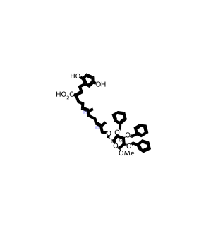 CO[C@@H]1O[C@H](COC/C(C)=C/CC/C(C)=C/CCC(=CCc2cc(O)ccc2O)C(=O)O)[C@@H](OCc2ccccc2)[C@H](OCc2ccccc2)[C@H]1OCc1ccccc1